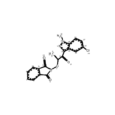 CC(ON1C(=O)c2ccccc2C1=O)C(=O)c1nn(C)c2ccc(Cl)cc12